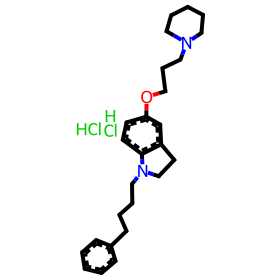 Cl.Cl.c1ccc(CCCCN2CCc3cc(OCCCN4CCCCC4)ccc32)cc1